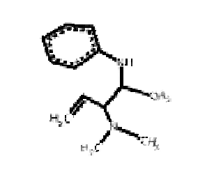 C=CC(C(C)Nc1ccccc1)N(C)C